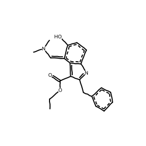 CCOC(=O)C1=c2c(ccc(O)c2=CN(C)C)N=C1Cc1ccccc1